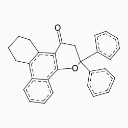 O=C1CC(c2ccccc2)(c2ccccc2)Oc2c1c1c(c3ccccc23)CCCC1